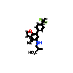 C=C(CNc1cc(-c2ccc(C(C)(F)F)cc2)c2c(c1C#N)CCO2)C(=O)O